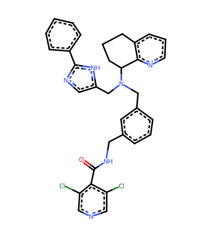 O=C(NCc1cccc(CN(Cc2cnc(-c3ccccc3)[nH]2)C2CCCc3cccnc32)c1)c1c(Cl)cncc1Cl